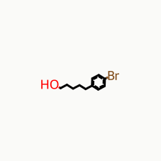 OCCCCCc1ccc(Br)cc1